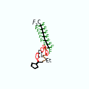 CCS(CC)(CC(=O)C1CCCC1)OS(=O)(=O)C(F)(F)C(F)(F)C(F)(F)C(F)(F)C(F)(F)C(F)(F)C(F)(F)C(F)(F)F